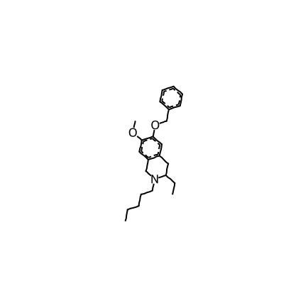 CCCCCN1Cc2cc(OC)c(OCc3ccccc3)cc2CC1CC